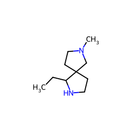 CCC1NCCC12CCN(C)C2